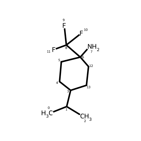 CC(C)C1CCC(N)(C(F)(F)F)CC1